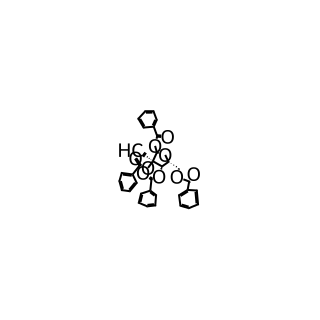 C#C[C@]1(OC(=O)c2ccccc2)C(OC(=O)c2ccccc2)O[C@H](COC(=O)c2ccccc2)[C@H]1OC(=O)c1ccccc1